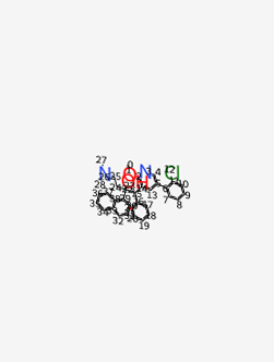 COc1ncc(-c2ccccc2Cl)cc1C(c1ccccc1)C(O)(CCN(C)C)c1cccc2ccccc12